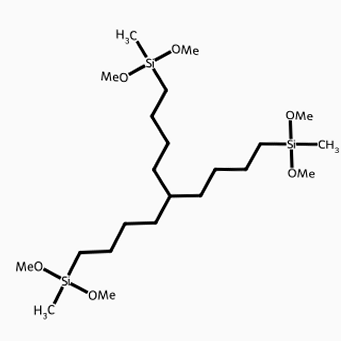 CO[Si](C)(CCCCC(CCCC[Si](C)(OC)OC)CCCC[Si](C)(OC)OC)OC